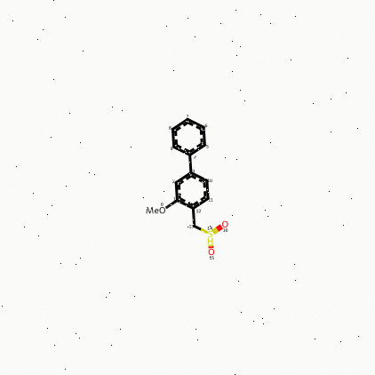 COc1cc(-c2ccccc2)ccc1C[SH](=O)=O